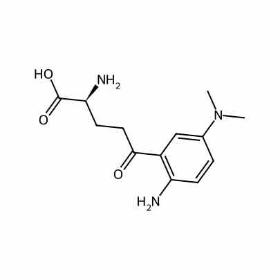 CN(C)c1ccc(N)c(C(=O)CC[C@H](N)C(=O)O)c1